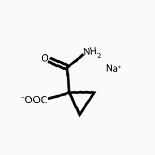 NC(=O)C1(C(=O)[O-])CC1.[Na+]